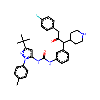 Cc1ccc(-n2nc(C(C)(C)C)cc2NC(=O)Nc2cccc(C(C(=O)Cc3ccc(F)cc3)C3CCNCC3)c2)cc1